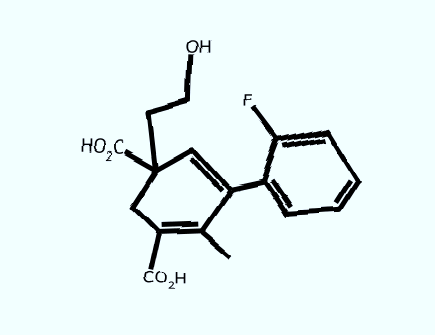 CC1=C(C(=O)O)CC(CCO)(C(=O)O)C=C1c1ccccc1F